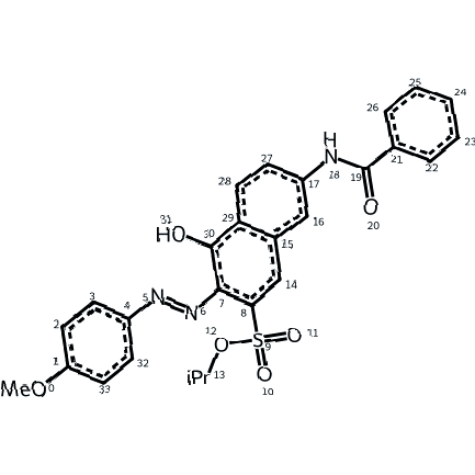 COc1ccc(N=Nc2c(S(=O)(=O)OC(C)C)cc3cc(NC(=O)c4ccccc4)ccc3c2O)cc1